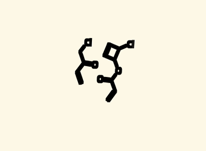 C=CC(=O)CCl.C=CC(=O)OC1C=CC1Cl